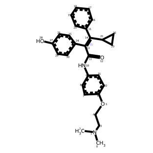 CN(C)CCOc1ccc(NC(=O)/C(=C(/c2ccccc2)C2CC2)c2ccc(O)cc2)cc1